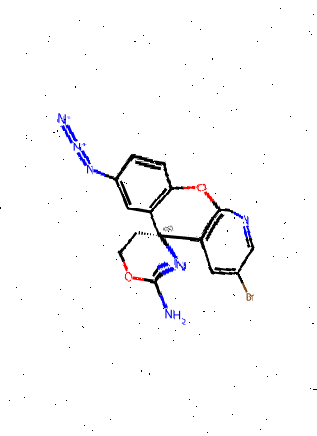 [N-]=[N+]=Nc1ccc2c(c1)[C@@]1(CCOC(N)=N1)c1cc(Br)cnc1O2